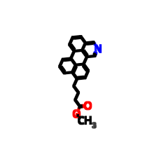 COC(=O)CCCc1ccc2c3cncc4cccc(c5cccc1c52)c43